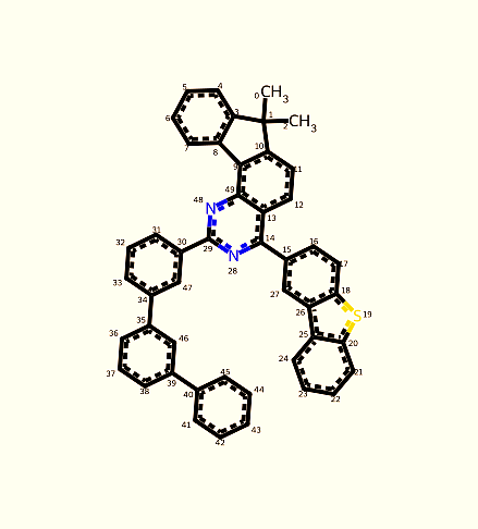 CC1(C)c2ccccc2-c2c1ccc1c(-c3ccc4sc5ccccc5c4c3)nc(-c3cccc(-c4cccc(-c5ccccc5)c4)c3)nc21